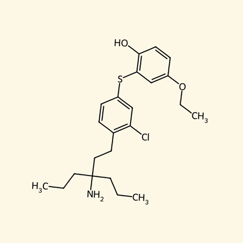 CCCC(N)(CCC)CCc1ccc(Sc2cc(OCC)ccc2O)cc1Cl